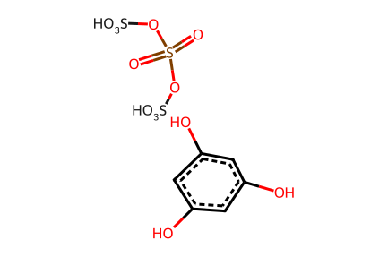 O=S(=O)(O)OS(=O)(=O)OS(=O)(=O)O.Oc1cc(O)cc(O)c1